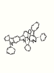 c1ccc(-c2nc(-c3ccccc3-n3c4ccccc4c4cc5c6ccccc6n(-c6ccccc6)c5cc43)nc3oc4ccccc4c23)cc1